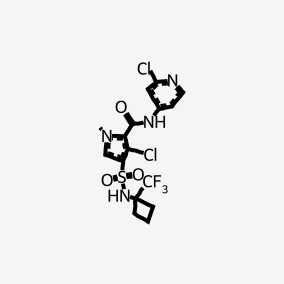 Cn1cc(S(=O)(=O)NC2(C(F)(F)F)CCC2)c(Cl)c1C(=O)Nc1ccnc(Cl)c1